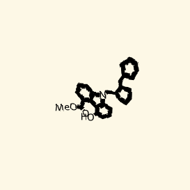 COC(=O)c1cccc2c1c1c(O)cccc1n2Cc1ccccc1Cc1ccccc1